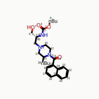 CCCCOC(=O)N[C@@H](CO)CN1CCN(C(=O)c2cccc3ccccc23)C(CCCC)C1